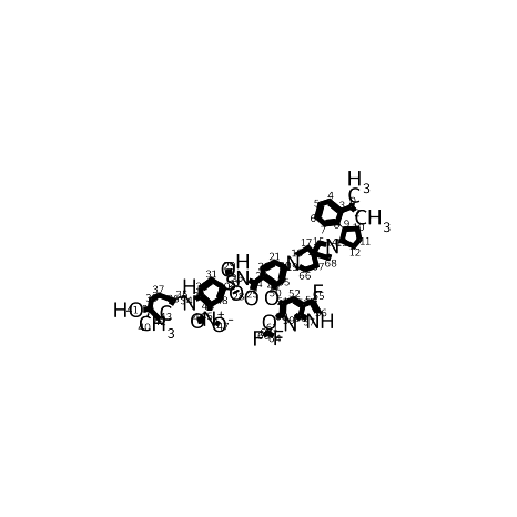 CC(C)c1ccccc1[C@@H]1CCC[C@@H]1N1CC2(CCN(c3ccc(C(=O)NS(=O)(=O)c4ccc(NC[C@H]5CC[C@](C)(O)CC5)c([N+](=O)[O-])c4)c(Oc4cc5c(F)c[nH]c5nc4OC(F)F)c3)CC2)C1